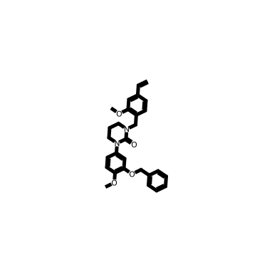 C=Cc1ccc(CN2CCCN(c3ccc(OC)c(OCc4ccccc4)c3)C2=O)c(OC)c1